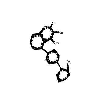 N#Cc1c(O)nc2cccc(-c3ccc(-c4ccccc4O)cc3)c2c1O